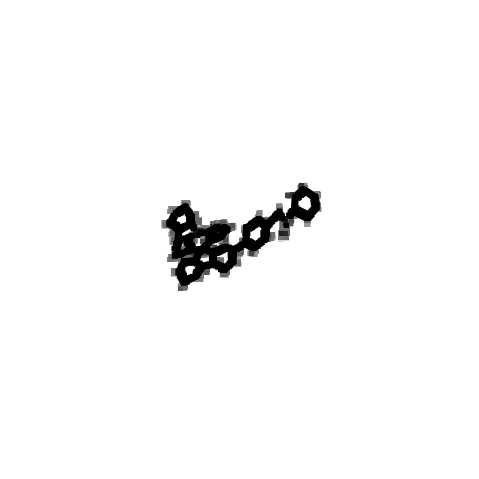 c1ccc(NCc2ccc(-c3ccc4c(c3)C3(c5ccccc5-4)c4ccccc4-n4c5ccccc5c5cccc3c54)cc2)cc1